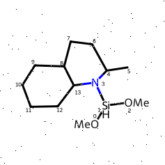 CO[SiH](OC)N1C(C)CCC2CCCCC21